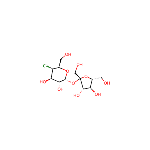 OC[C@H]1O[C@@](CO)(O[C@H]2O[C@H](CO)[C@H](Cl)[C@H](O)[C@H]2O)[C@@H](O)[C@@H]1O